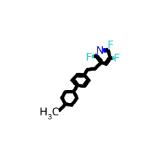 CCC1CCC(c2ccc(CCc3cc(F)c(F)nc3F)cc2)CC1